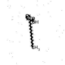 CCCCCCCCCCCCCCCCC(C(=O)O)N1CCOCC1